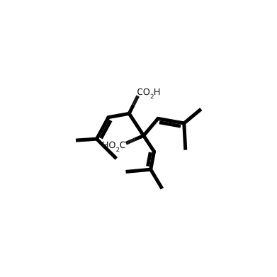 CC(C)=CC(C(=O)O)C(C=C(C)C)(C=C(C)C)C(=O)O